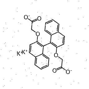 O=C([O-])COc1ccc2ccccc2c1-c1c(OCC(=O)[O-])ccc2ccccc12.[K+].[K+]